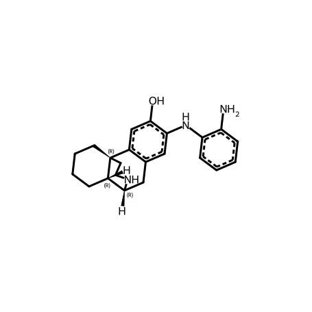 Nc1ccccc1Nc1cc2c(cc1O)[C@@]13CCCC[C@H]1[C@@H](C2)NCC3